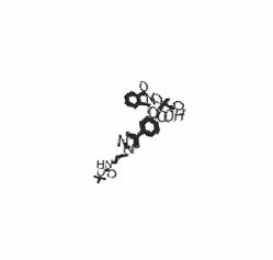 CC(C)(C)OC(=O)NCCCn1cc(-c2ccc(OCC(C)(ON3C(=O)c4ccccc4C3=O)C(=O)O)cc2)cn1